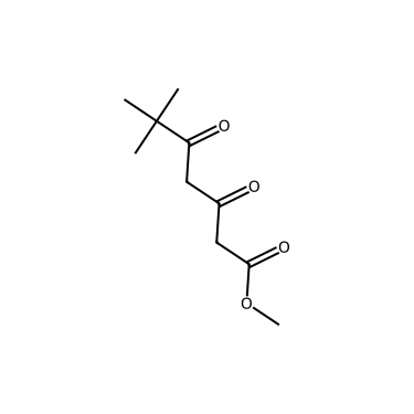 COC(=O)CC(=O)CC(=O)C(C)(C)C